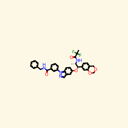 C[C@H](NC(=O)C(C)(F)F)[C@H](Oc1ccc2c(cnn2-c2cccc(C(=O)NCc3ccccc3)c2)c1)c1ccc2c(c1)OCOC2